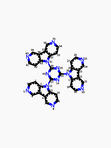 c1cc2c(cn1)c1cnccc1n2-c1nc(-n2c3ccncc3c3cnccc32)nc(-n2c3ccncc3c3cnccc32)n1